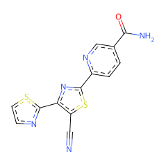 N#Cc1sc(-c2ccc(C(N)=O)cn2)nc1-c1nccs1